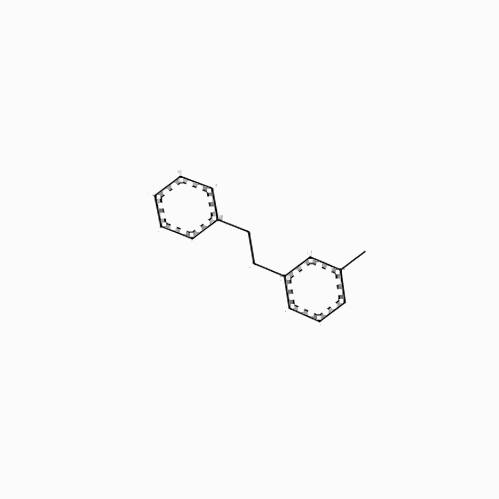 Cc1cc[c]c(CCc2ccccc2)c1